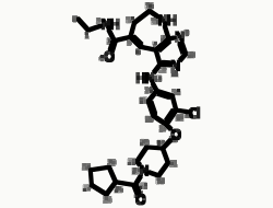 CCNC(=O)C1=Cc2c(ncnc2Nc2ccc(OC3CCN(C(=O)C4CCCC4)CC3)c(Cl)c2)NCC1